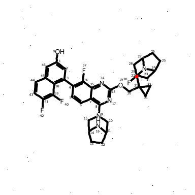 Oc1cc(-c2ccc3c(N4CC5CCC(C4)N5)nc(OCC4(CN5C6CCC5CC(F)C6)CC4)nc3c2F)c2c(F)c(F)ccc2c1